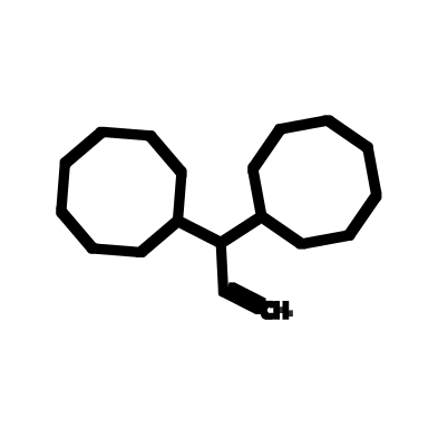 [CH]=CC(C1CCCCCCC1)C1CCCCCCC1